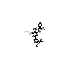 CCOc1ncc(-c2cc(N(C)CC3(COC)CCCC3)c([N+](=O)[O-])c(N)n2)cc1C(F)(F)F